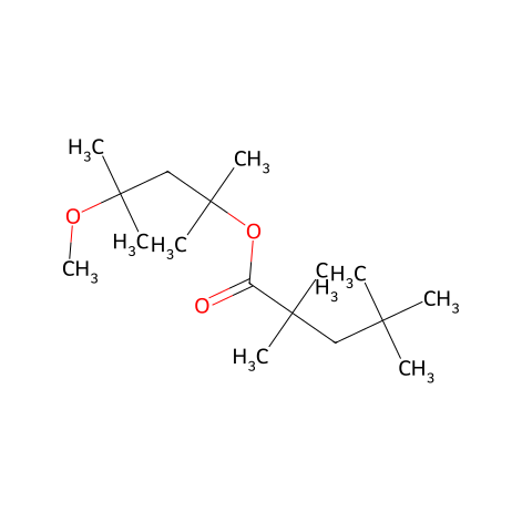 COC(C)(C)CC(C)(C)OC(=O)C(C)(C)CC(C)(C)C